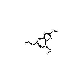 C=CCc1cc(OC)c2c(c1)OC(OC)O2